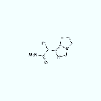 CNC(=O)C(c1ncn2c1CCC2)C(C)C